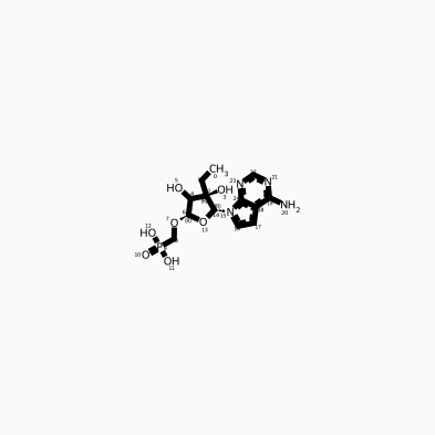 CC[C@@]1(O)C(O)[C@@H](OCP(=O)(O)O)O[C@H]1n1ccc2c(N)ncnc21